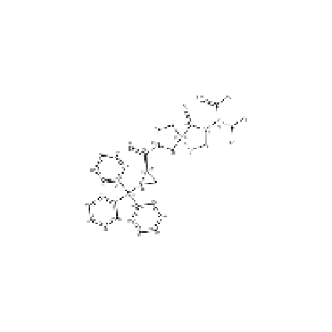 CC(=O)[C@H](C(C)C)N1CC[C@]2(CCN(C(=O)[C@H]3CN3C(c3ccccc3)(c3ccccc3)c3ccccc3)C2)C1=O